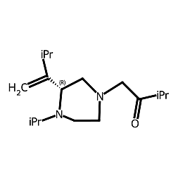 C=C(C(C)C)[C@@H]1CN(CC(=O)C(C)C)CCN1C(C)C